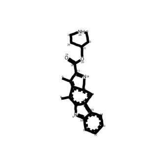 CC1=c2c(cc3c(c2C)N=c2ccccc2=3)N=C1C(=O)OC1CCNCC1